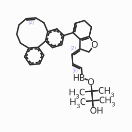 CC(C)(O)C(C)(C)OB/C=C/C=C1\COC2=C1C(c1ccc3c(c1)C/C=C\CCCc1ccccc1-3)=CCC2